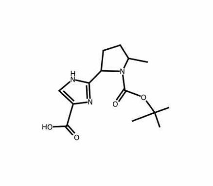 CC1CCC(c2nc(C(=O)O)c[nH]2)N1C(=O)OC(C)(C)C